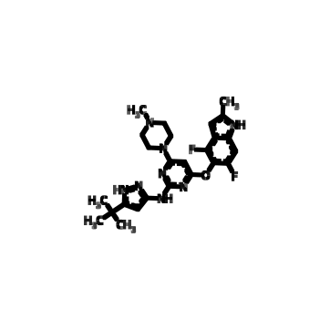 Cc1cc2c(F)c(Oc3cc(N4CCN(C)CC4)nc(Nc4cc(C(C)(C)C)[nH]n4)n3)c(F)cc2[nH]1